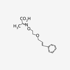 C/C(=N\OCCOC/C=C/c1ccccc1)C(=O)O